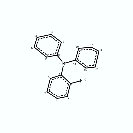 Fc1ccccc1B(c1ccccc1)c1ccccc1